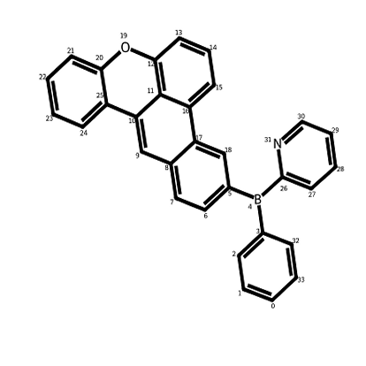 c1ccc(B(c2ccc3cc4c5c(cccc5c3c2)Oc2ccccc2-4)c2ccccn2)cc1